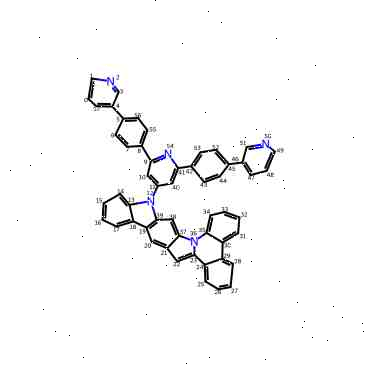 c1cncc(-c2ccc(-c3cc(-n4c5ccccc5c5cc6cc7c8ccccc8c8ccccc8n7c6cc54)cc(-c4ccc(-c5cccnc5)cc4)n3)cc2)c1